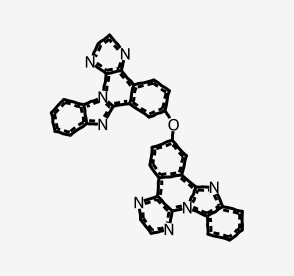 c1ccc2c(c1)nc1c3cc(Oc4ccc5c(c4)c4nc6ccccc6n4c4nccnc54)ccc3c3nccnc3n21